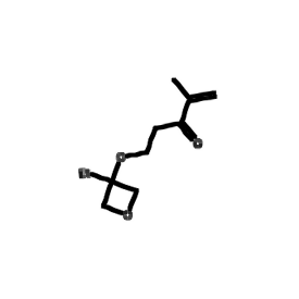 C=C(C)C(=O)CCOC1(CC)COC1